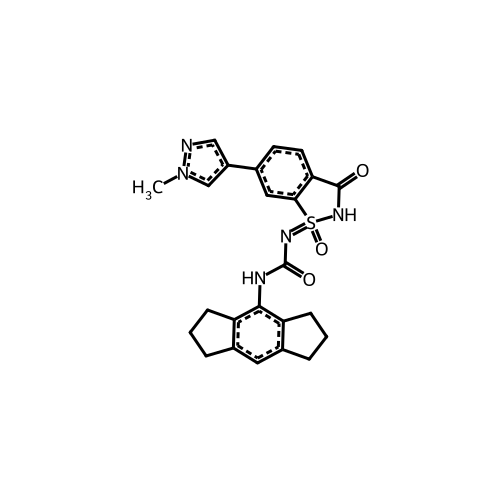 Cn1cc(-c2ccc3c(c2)S(=O)(=NC(=O)Nc2c4c(cc5c2CCC5)CCC4)NC3=O)cn1